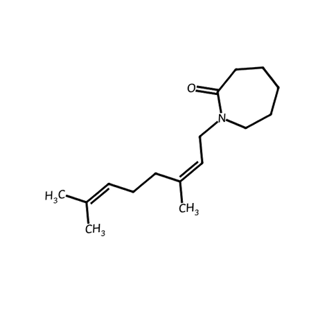 CC(C)=CCCC(C)=CCN1CCCCCC1=O